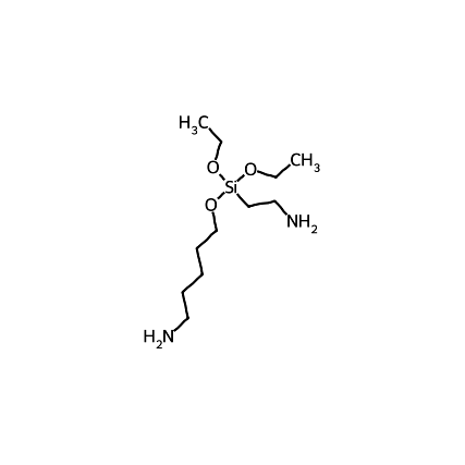 CCO[Si](CCN)(OCC)OCCCCCN